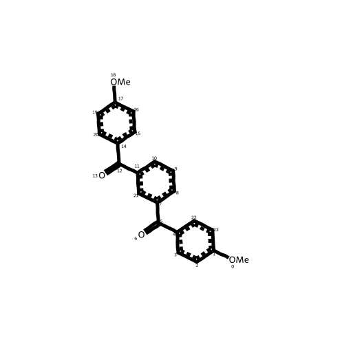 COc1ccc(C(=O)c2cccc(C(=O)c3ccc(OC)cc3)c2)cc1